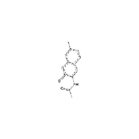 CC(=O)Nc1cc2ccc(C)cc2oc1=O